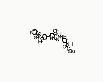 Cc1cc(-c2ccc(NS(=O)(=O)c3cccnc3)c(F)c2)nc2cnc(N[C@H]3CC[C@H](NC(=O)OC(C)(C)C)CC3)nc12